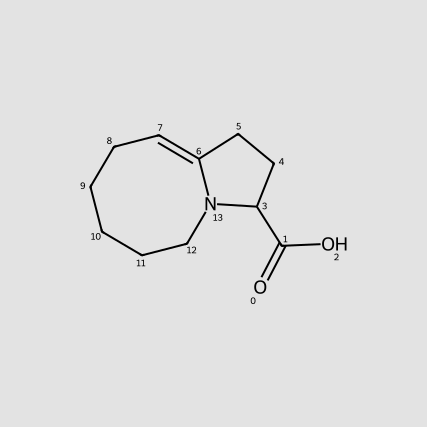 O=C(O)C1CCC2=CCCCCCN21